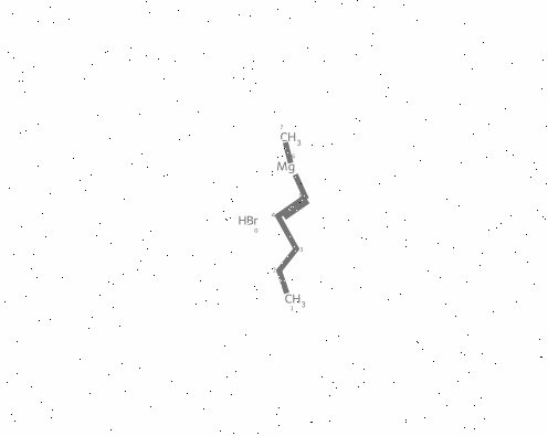 Br.CCCC=[CH][Mg][CH3]